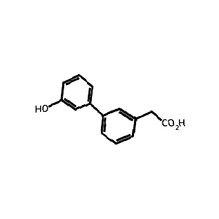 O=C(O)Cc1cccc(-c2cccc(O)c2)c1